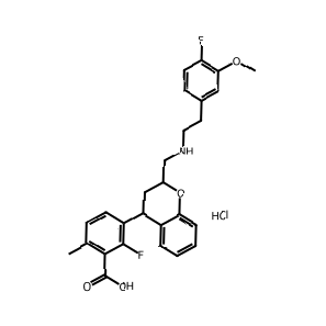 COc1cc(CCNCC2CC(c3ccc(C)c(C(=O)O)c3F)c3ccccc3O2)ccc1F.Cl